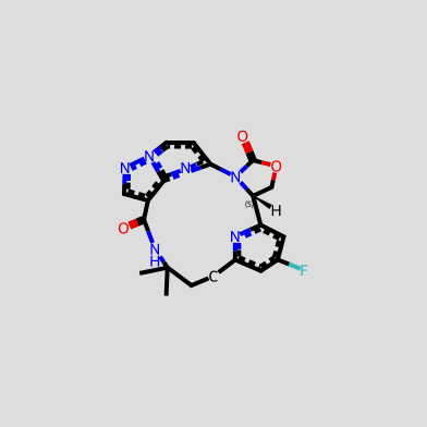 CC1(C)CCc2cc(F)cc(n2)[C@H]2COC(=O)N2c2ccn3ncc(c3n2)C(=O)N1